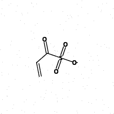 C=CC(=O)S([O])(=O)=O